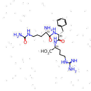 N=C(N)NCCC[C@H](NC(=O)[C@@H](Cc1ccccc1)NC(=O)[C@@H](N)CCCNC(N)=O)C(=O)O